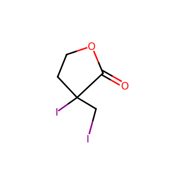 O=C1OCCC1(I)CI